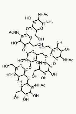 CC(=O)NC1C(O)[C@H](O)[C@H](CO)O[C@H]1O[C@@H]1C(O)[C@H](O)C(CO)O[C@@H]1OCC1O[C@@H](O[C@@H]2C(CO)O[C@@H](O[C@@H]3C(CO)O[C@@H](C)C(NC(C)=O)[C@H]3O)[C@@H](NC(C)=O)C2O)[C@H](O)C(O[C@H]2O[C@H](CO)[C@@H](O)C(O)C2O[C@@H]2OC(CO)[C@@H](O)C(O)[C@@H]2NC(C)=O)[C@@H]1O